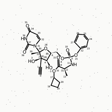 C#C[C@@]1(O)[C@H](O)[C@@H](COP(=O)(N[C@@H](C)C(=O)OC2CCC2)Oc2ccccc2)O[C@@]1(C)n1ccc(=O)[nH]c1=O